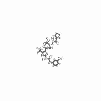 COC(=O)[C@H](CNC(=O)C1=CCCS1)NC(=O)c1sc(NC(=O)Cc2cccc(O)c2)nc1C(F)(F)F